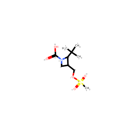 CC(C)(C)C1C(COS(C)(=O)=O)CN1C(=O)O